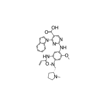 C=CC(=O)Nc1cc(Nc2ncc(C(=O)O)c(-n3ccc4ccccc43)n2)c(OC)cc1N(C)C[C@H]1CCCN1C